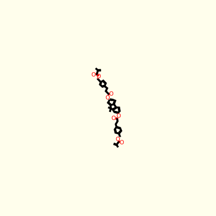 C=C(C)C(=O)OCc1ccc(CCC(=O)Oc2ccc3c(c2)C(C)(C)c2cc(OC(=O)CCc4ccc(COC(=O)C(=C)C)cc4)ccc2-3)cc1